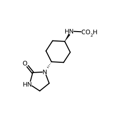 O=C(O)N[C@H]1CC[C@H](N2CCNC2=O)CC1